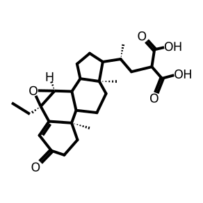 CC[C@]12O[C@H]1C1C3CCC([C@H](C)CC(C(=O)O)C(=O)O)[C@@]3(C)CCC1[C@@]1(C)CCC(=O)C=C12